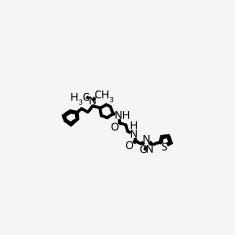 CN(C)C(CCc1ccccc1)C1CCC(NC(=O)CCNC(=O)c2nc(-c3cccs3)no2)CC1